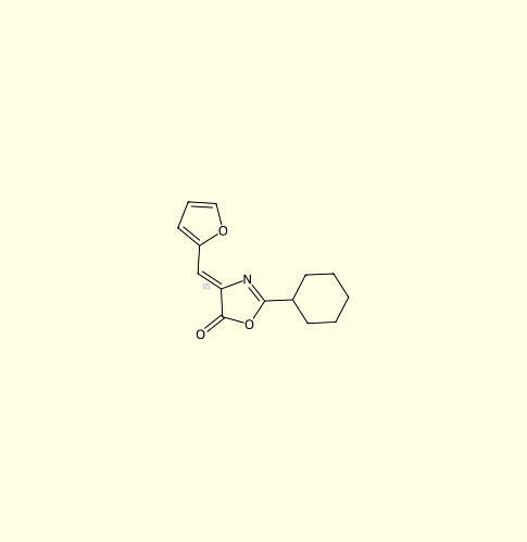 O=C1OC(C2CCCCC2)=N/C1=C\c1ccco1